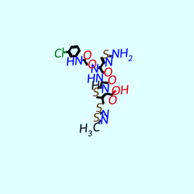 Cc1nnc(SCC2=C(C(=O)O)N3C(=O)C(NC(=O)C(=NOCC(=O)Nc4cccc(Cl)c4)c4csc(N)n4)[C@@H]3SC2)s1